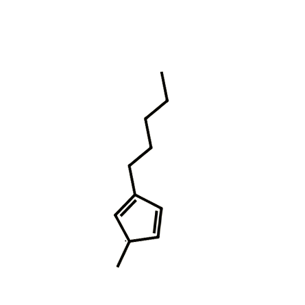 CCCCCC1=C[C](C)C=C1